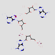 Nc1ncnc2c1ncn2C1OC(COP(O)(=S)OC2C(O)C(COP(O)(=S)OC3C(O)C(COP(O)(O)=S)OC3n3cnc4c(N)ncnc43)OC2n2cnc3c(N)ncnc32)C(O)C1O